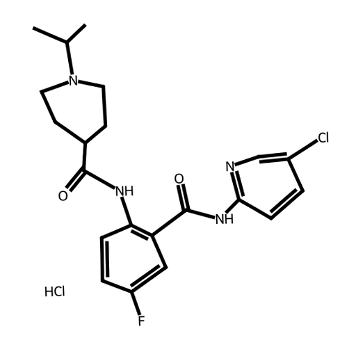 CC(C)N1CCC(C(=O)Nc2ccc(F)cc2C(=O)Nc2ccc(Cl)cn2)CC1.Cl